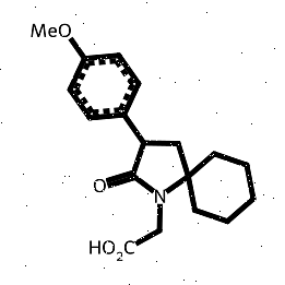 COc1ccc(C2CC3(CCCCC3)N(CC(=O)O)C2=O)cc1